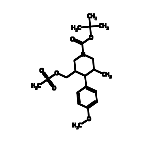 COc1ccc(C2C(C)CN(C(=O)OC(C)(C)C)CC2COS(C)(=O)=O)cc1